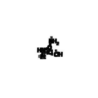 CCNON.Cl.Cl